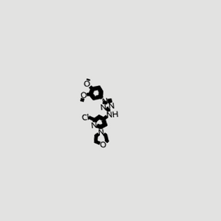 COc1ccc(-n2cnc(Nc3cc(Cl)nc(N4CCOCC4)c3)n2)cc1OC